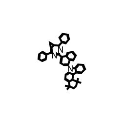 CC1(C)CCC(C)(C)C2C1=CC=C1C2c2ccccc2N1c1ccc(C2=NC(c3ccccc3)=C3CC3C(c3ccccc3)=N2)c2ccccc12